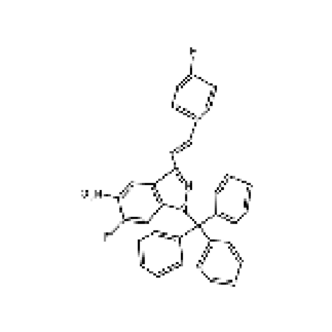 O=[N+]([O-])c1cc2c(C=Cc3ccc(F)cc3)nn(C(c3ccccc3)(c3ccccc3)c3ccccc3)c2cc1F